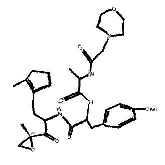 COc1ccc(CC(NC(=O)C(C)NC(=O)CN2CCOCC2)C(=O)NC(CC2=C(C)CCC2)C(=O)[C@@]2(C)CO2)cc1